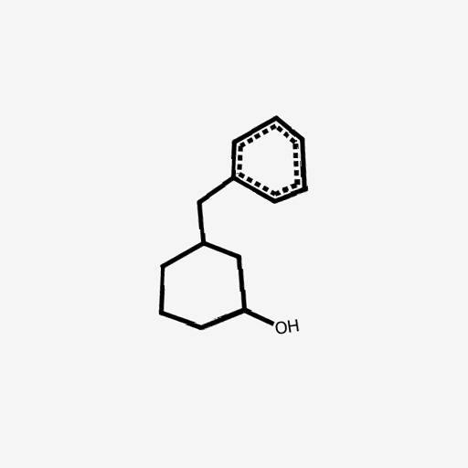 OC1CCCC(Cc2ccccc2)C1